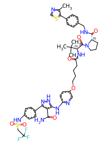 Cc1ncsc1-c1ccc(CNC(=O)[C@@H]2CCCN2C(=O)[C@@H](NC(=O)CCCCOc2ccc(Nc3[nH]nc(-c4ccc(NS(=O)(=O)CC(F)(F)F)cc4)c3C(N)=O)nc2)C(C)(C)C)cc1